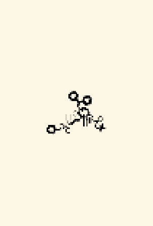 CC(C)(C)OC(=O)NC[C@@H]1CCN(CC(c2ccccc2)c2ccccc2)C(=O)[C@H](CCCNC(=O)OCc2ccccc2)N1